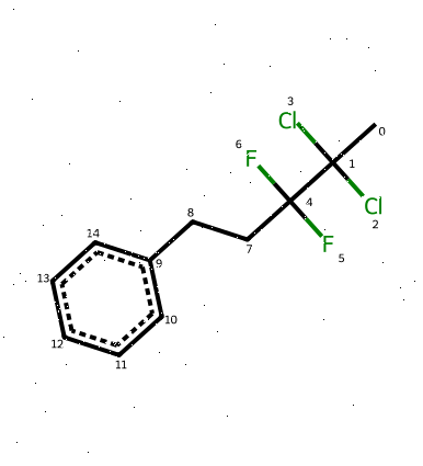 CC(Cl)(Cl)C(F)(F)CCc1ccccc1